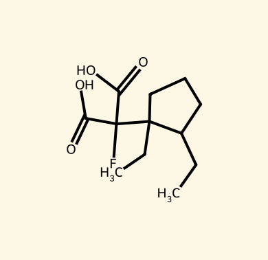 CCC1CCCC1(CC)C(F)(C(=O)O)C(=O)O